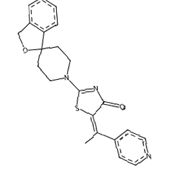 C/C(=C1\SC(N2CCC3(CC2)OCc2ccccc23)=NC1=O)c1ccncc1